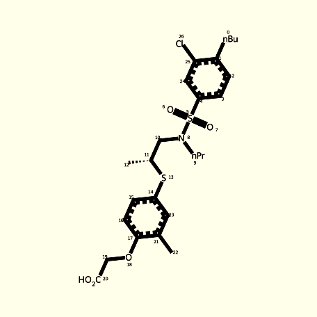 CCCCc1ccc(S(=O)(=O)N(CCC)C[C@@H](C)Sc2ccc(OCC(=O)O)c(C)c2)cc1Cl